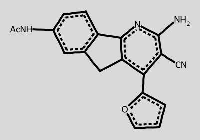 CC(=O)Nc1ccc2c(c1)Cc1c-2nc(N)c(C#N)c1-c1ccco1